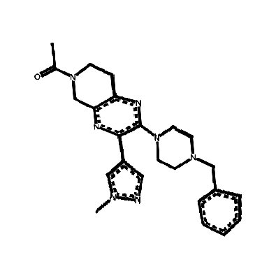 CC(=O)N1CCc2nc(N3CCN(Cc4ccccc4)CC3)c(-c3cnn(C)c3)nc2C1